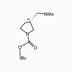 CNC[C@H]1CCN(C(=O)OC(C)(C)C)C1